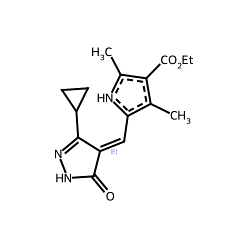 CCOC(=O)c1c(C)[nH]c(/C=C2/C(=O)NN=C2C2CC2)c1C